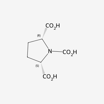 O=C(O)[C@H]1CC[C@@H](C(=O)O)N1C(=O)O